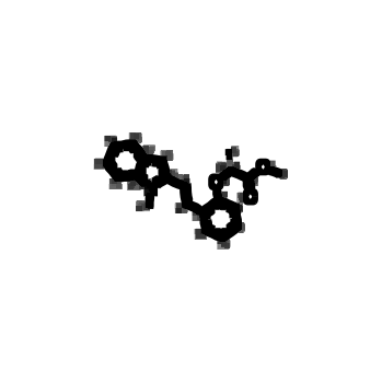 COC(=O)[C@@H](C)Oc1ccccc1C=Cc1cc2ccccc2n1C